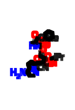 COC(=O)[C@H](C)NP(=O)(OC[C@H]1O[C@@](C#N)(c2ccc3c(N)ccnn23)[C@](C)(O)[C@@H]1OC(=O)C(C)C)Oc1ccccc1